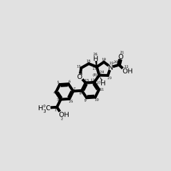 CC(O)c1cccc(-c2cccc3c2OCC[C@@H]2CN(C(=O)O)C[C@@H]32)c1